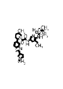 CCc1cc(NC(=O)C(=O)N2C[C@@H](C)CCC2c2ccc3sc(C4CCN(C)C4)nc3c2)cnc1NC(=O)OC(C)(C)C